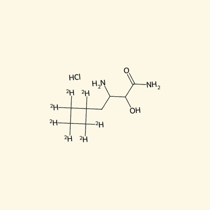 Cl.[2H]C1([2H])C([2H])([2H])C([2H])(CC(N)C(O)C(N)=O)C1([2H])[2H]